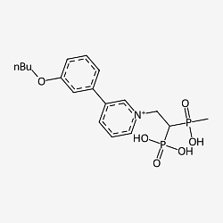 CCCCOc1cccc(-c2ccc[n+](CC(P(C)(=O)O)P(=O)(O)O)c2)c1